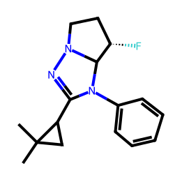 CC1(C)CC1C1=NN2CC[C@H](F)C2N1c1ccccc1